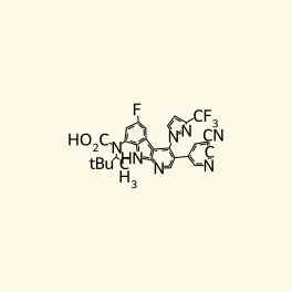 CC(N(C(=O)O)c1cc(F)cc2c1[nH]c1ncc(-c3cncc(C#N)c3)c(-n3ccc(C(F)(F)F)n3)c12)C(C)(C)C